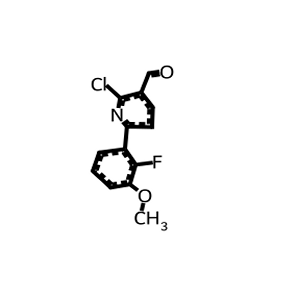 COc1cccc(-c2ccc(C=O)c(Cl)n2)c1F